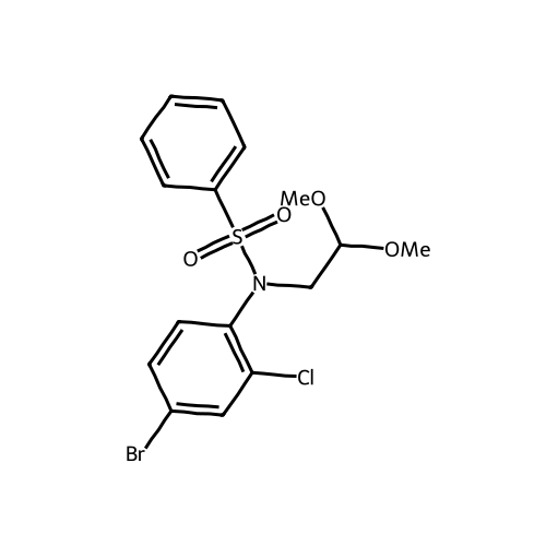 COC(CN(c1ccc(Br)cc1Cl)S(=O)(=O)c1ccccc1)OC